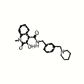 Cn1c(=O)c(O)c(C(=O)NCc2cccc(CN3CCCCC3)c2)c2ccccc21